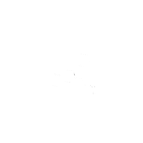 CCNCCO[C@@H](Oc1c(C)cccc1F)c1ccccc1